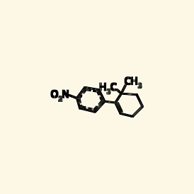 CC1(C)CCCC=C1c1ccc([N+](=O)[O-])cc1